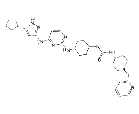 O=C(NC1CCC(Nc2nccc(Nc3cc(C4CCCC4)[nH]n3)n2)CC1)NC1CCN(Cc2ccccn2)CC1